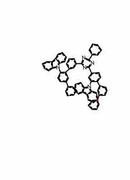 c1ccc(-c2cccc(-c3ccc(-c4nc(-c5ccccc5)nc(-c5cccc(-c6cc(-c7ccccc7)ccc6-n6c7ccccc7c7ccccc76)c5)n4)cc3-n3c4ccccc4c4ccccc43)c2)cc1